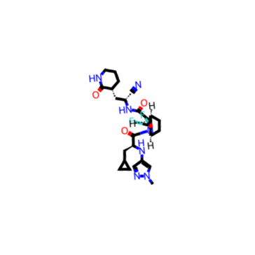 Cn1cc(N[C@@H](CC2CC2)C(=O)N2[C@@H]3CC[C@H]([C@@H]2C(=O)N[C@@H](C#N)C[C@H]2CCCNC2=O)C(F)(F)C3)cn1